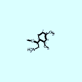 C=C=C(CN)c1ccc(OC)cc1OC